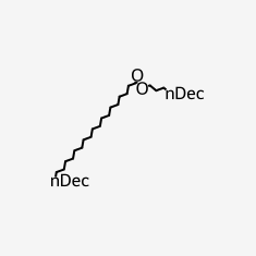 CCCCCCCCCCCCCCCCCCCCCCCCCCCC(=O)OCCCCCCCCCCCCC